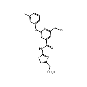 CC(C)Oc1cc(C(=O)Nc2nc(CC(=O)O)cs2)cc(Oc2cccc(F)c2)n1